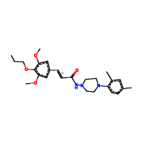 CCCOc1c(OC)cc(/C=C/C(=O)NN2CCN(c3ccc(C)cc3C)CC2)cc1OC